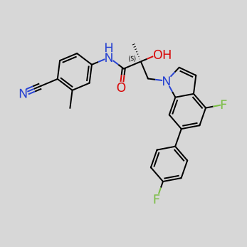 Cc1cc(NC(=O)[C@@](C)(O)Cn2ccc3c(F)cc(-c4ccc(F)cc4)cc32)ccc1C#N